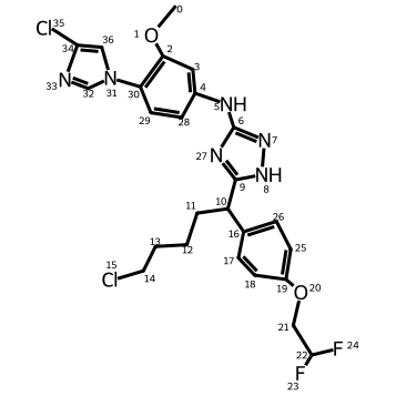 COc1cc(Nc2n[nH]c(C(CCCCCl)c3ccc(OCC(F)F)cc3)n2)ccc1-n1cnc(Cl)c1